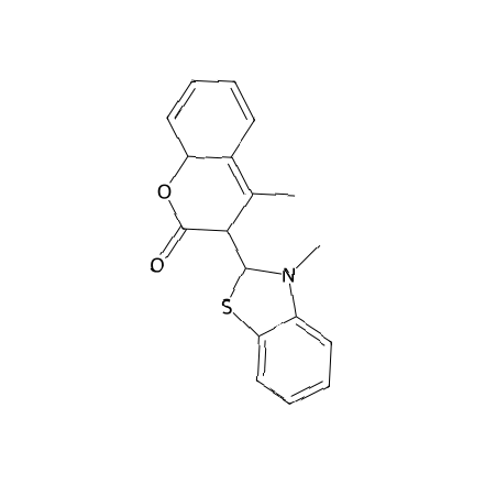 CC1=C2C=CC=CC2OC(=O)C1C1Sc2ccccc2N1C